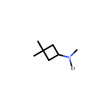 CCN(C)C1CC(C)(C)C1